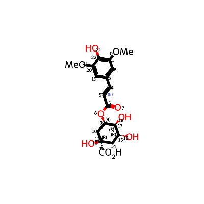 COc1cc(/C=C/C(=O)O[C@@H]2C[C@@](O)(C(=O)O)C[C@@H](O)[C@@H]2O)cc(OC)c1O